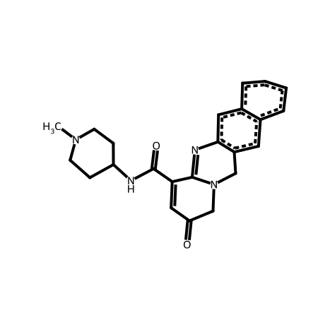 CN1CCC(NC(=O)C2=CC(=O)CN3Cc4cc5ccccc5cc4N=C23)CC1